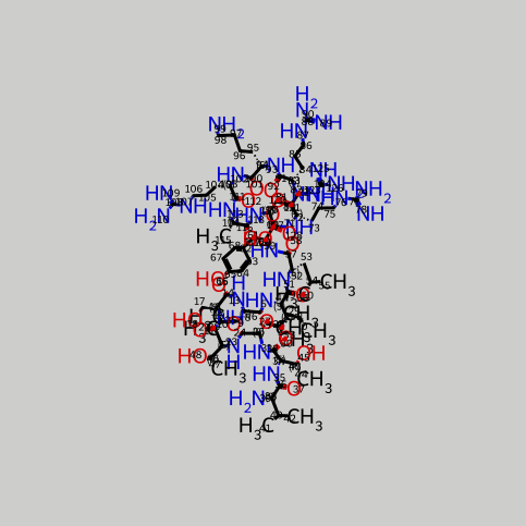 CC[C@H](C)[C@H](NC(=O)[C@H](CC(C)C)NC(=O)[C@H](CO)NC(=O)[C@@H](NC(=O)[C@H](CC(C)C)NC(=O)[C@@H](NC(=O)[C@@H](N)C(C)C)[C@@H](C)O)[C@@H](C)O)C(=O)N[C@@H](CC(C)C)C(=O)N[C@@H](Cc1ccc(O)cc1)C(=O)N[C@@H](CCCNC(=N)N)C(=O)N[C@@H](CCCNC(=N)N)C(=O)N[C@@H](CCCCN)C(=O)N[C@@H](CCCNC(=N)N)C(=O)N[C@@H](C)C(=O)N[C@@H](CCCNC(=N)N)C(=O)O